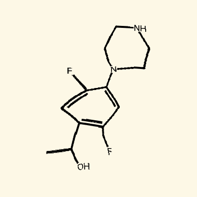 CC(O)c1cc(F)c(N2CCNCC2)cc1F